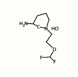 Cl.NC1CCCN(CCOC(F)F)C1